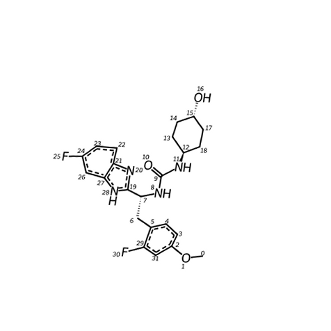 COc1ccc(C[C@@H](NC(=O)N[C@H]2CC[C@H](O)CC2)c2nc3ccc(F)cc3[nH]2)c(F)c1